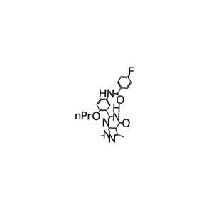 CCCOc1ccc(NC(=O)c2ccc(F)cc2)cc1-c1nc2c(c(C)nn2C)c(=O)[nH]1